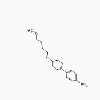 COCCCCOC1CCN(c2c[c]c(N)cc2)CC1